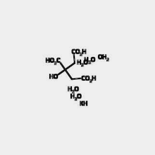 O.O.O.O.O.O=C(O)CC(O)(CC(=O)O)C(=O)O.[KH]